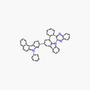 c1ccc(-n2c3cc(-c4cc5c6c(c4)c4ccccc4n6-c4nc6ccccc6nc4-c4ccccc4-5)ccc3c3c4ccccc4ccc32)cc1